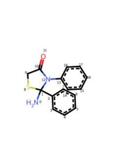 NC1(c2ccccc2)SCC(=O)N1c1ccccc1